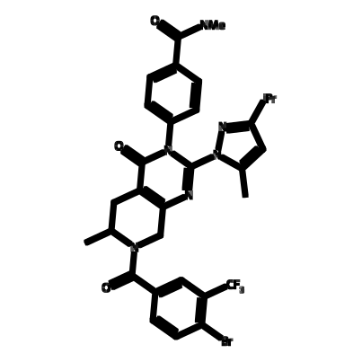 CNC(=O)c1ccc(-n2c(-n3nc(C(C)C)cc3C)nc3c(c2=O)CC(C)N(C(=O)c2ccc(Br)c(C(F)(F)F)c2)C3)cc1